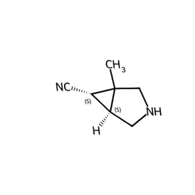 CC12CNC[C@H]1[C@@H]2C#N